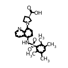 Cc1cc(C)c(C)c(S(=O)(=O)Nc2ccc(N3CC[C@@H](C(=O)O)C3)c3ncccc23)c1C